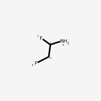 N[C](F)CF